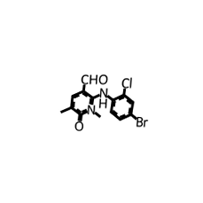 Cc1cc(C=O)c(Nc2ccc(Br)cc2Cl)n(C)c1=O